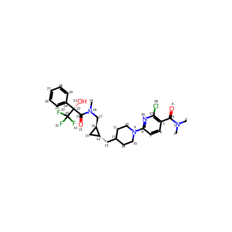 CN(C)C(=O)c1ccc(N2CCC(C[C@@H]3C[C@H]3CN(C)C(=O)[C@](O)(c3ccccc3)C(F)(F)F)CC2)nc1Cl